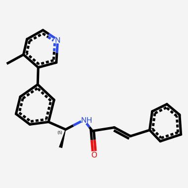 Cc1ccncc1-c1cccc([C@H](C)NC(=O)C=Cc2ccccc2)c1